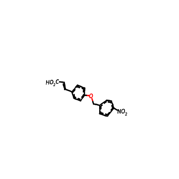 O=C(O)C=Cc1ccc(OCc2ccc([N+](=O)[O-])cc2)cc1